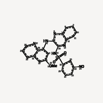 COc1cc(Nc2nc3ccccc3nc2NS(=O)(=O)c2cccc(N=O)c2)c2ncccc2c1